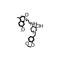 COc1ccc2c(C)cc(=O)n(CCNC3CCN(Cc4ccc5c(c4)OCCO5)CC3)c2c1.Cl